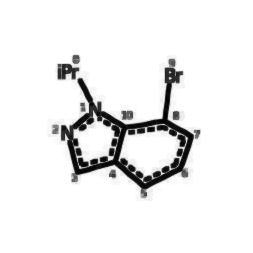 CC(C)n1ncc2cccc(Br)c21